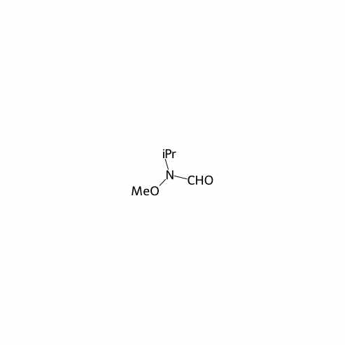 CON(C=O)C(C)C